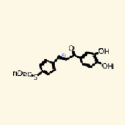 CCCCCCCCCCSc1ccc(/C=C/C(=O)c2ccc(O)c(O)c2)cc1